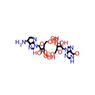 Nc1ccnc2c1ncn2C1OC2COP(=O)(O)O[C@@H]3C(COP(=O)(O)O[C@H]2[C@H]1O)OC(n1cnc2c(=O)[nH]cnc21)[C@@H]3O